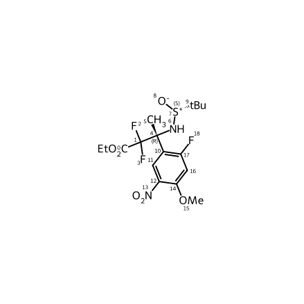 CCOC(=O)C(F)(F)[C@](C)(N[S@+]([O-])C(C)(C)C)c1cc([N+](=O)[O-])c(OC)cc1F